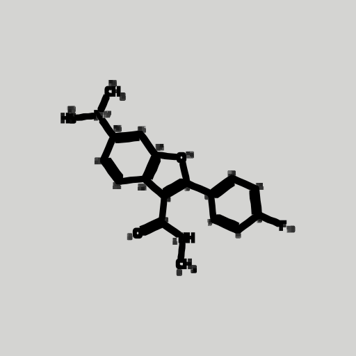 CNC(=O)c1c(-c2ccc(F)cc2)oc2cc(N(C)S)ccc12